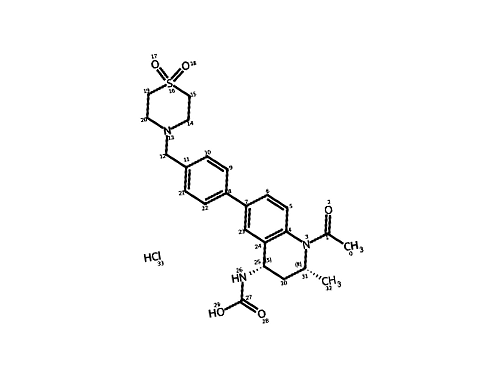 CC(=O)N1c2ccc(-c3ccc(CN4CCS(=O)(=O)CC4)cc3)cc2[C@@H](NC(=O)O)C[C@H]1C.Cl